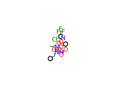 CCCN(C(=O)Oc1c(OCCOC)cccc1Oc1ncc(C(F)(F)F)cc1Cl)S(=O)(=O)NCCc1ccccc1